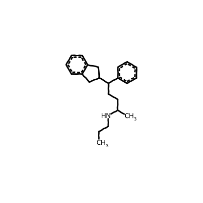 CCCNC(C)CCC(c1ccccc1)C1Cc2ccccc2C1